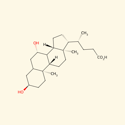 C[C@H](CCC(=O)O)[C@H]1CC[C@H]2C3[C@@H](O)CC4C[C@H](O)CC[C@]4(C)[C@H]3CC[C@]12C